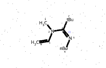 C=CN(C)/C(=N\CCCC)C(C)(C)C